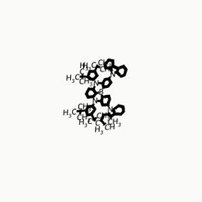 C#C/C=C\c1c(C)c2ccccc2n1-c1ccc2c(c1)N(c1cc(C(C)(C)C)cc(C(C)(C)C)c1)c1cccc3c1B2c1ccc(-n2c4ccccc4c4ccccc42)cc1N3c1cc(C(C)(C)C)cc(C(C)(C)C)c1